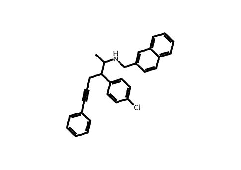 CC(NCc1ccc2ccccc2c1)C(CC#Cc1ccccc1)c1ccc(Cl)cc1